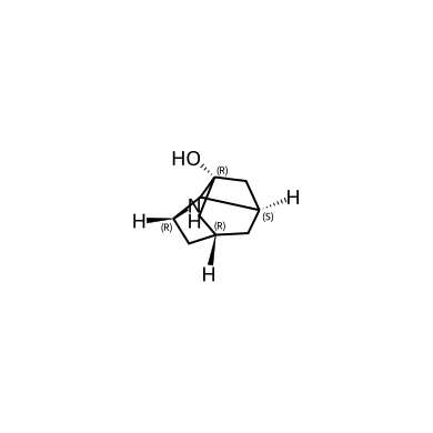 O[C@]12C[C@@H]3C[C@@H](C[C@H](C3)N1)C2